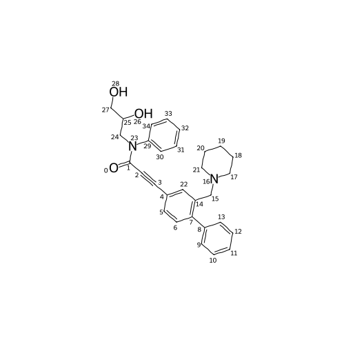 O=C(C#Cc1ccc(-c2ccccc2)c(CN2CCCCC2)c1)N(CC(O)CO)c1ccccc1